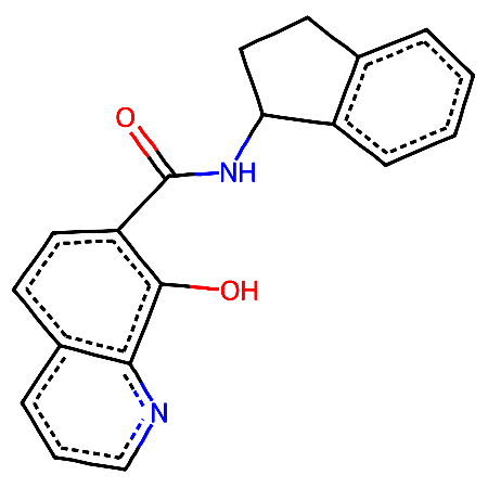 O=C(NC1CCc2ccccc21)c1ccc2cccnc2c1O